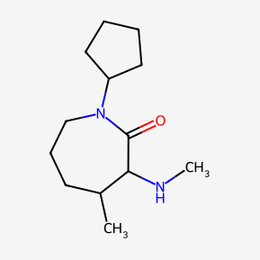 CNC1C(=O)N(C2CCCC2)CCCC1C